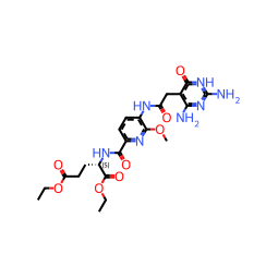 CCOC(=O)CC[C@H](NC(=O)c1ccc(NC(=O)Cc2c(N)nc(N)[nH]c2=O)c(OC)n1)C(=O)OCC